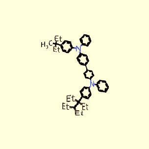 CCC(CC)C(CC)(CC)c1ccc(N(c2ccccc2)c2ccc(-c3ccc(N(c4ccccc4)c4ccc(C(C)(CC)CC)cc4)cc3)cc2)cc1